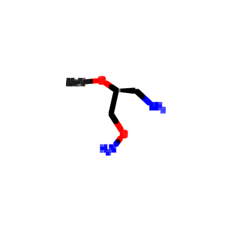 CNO[C@H](CN)CON